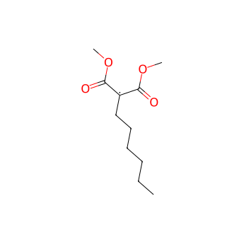 CCCCCC[C](C(=O)OC)C(=O)OC